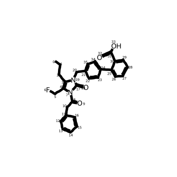 CCCc1c(CF)n(C(=O)Cc2ccccc2)c(=O)n1Cc1ccc(-c2ccccc2C(=O)O)cc1